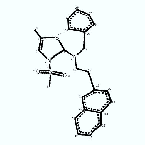 CC1=CN(S(C)(=O)=O)C(N(CCc2ccc3ccccc3c2)Cc2ccccc2)S1